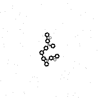 c1ccc(N(c2ccc(-c3cccc(-c4ccc5c6ccccc6n(-c6ccc7c(c6)oc6ccccc67)c5c4)c3)cc2)c2ccc3c(c2)oc2ccccc23)cc1